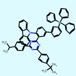 CC(C)c1ccc(-c2nc(-c3ccc(C(C)(C)C)cc3)nc(-c3cc(-c4cccc([Si](c5ccccc5)(c5ccccc5)c5ccccc5)c4)ccc3-n3c4ccccc4c4ccccc43)n2)cc1